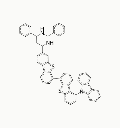 c1ccc(C2CC(c3ccc4c(c3)sc3c(-c5cccc6c5sc5cccc(-n7c8ccccc8c8ccccc87)c56)cccc34)NC(c3ccccc3)N2)cc1